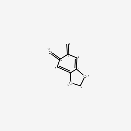 C=C1C=C2OCOC2=CC1=O